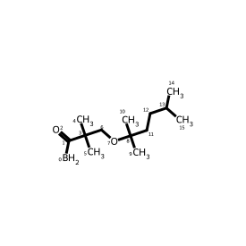 BC(=O)C(C)(C)COC(C)(C)CCC(C)C